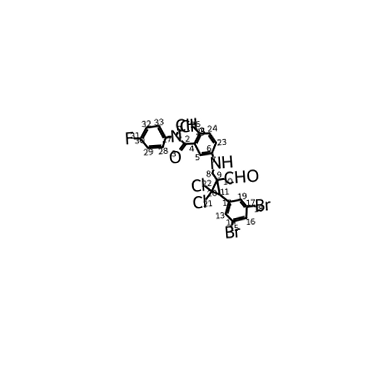 CN(C(=O)c1cc(NCC2(C=O)C(c3cc(Br)cc(Br)c3)C2(Cl)Cl)ccc1Cl)c1ccc(F)cc1